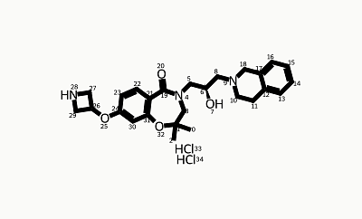 CC1(C)CN(C[C@H](O)CN2CCc3ccccc3C2)C(=O)c2ccc(OC3CNC3)cc2O1.Cl.Cl